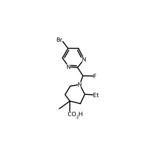 CCC1CC(C)(C(=O)O)CCN1C(F)c1ncc(Br)cn1